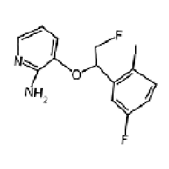 Nc1ncccc1OC(CF)c1cc(F)ccc1I